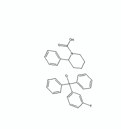 O=C(O)N1CCCCC1c1ccccc1.[O]C(c1ccccc1)(c1ccccc1)c1cccc(F)c1